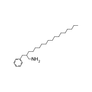 CCCCCCCCCCCCCCCCC(CN)Cc1ccccc1